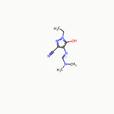 CCn1nc(C#N)c(/N=C/N(C)C)c1O